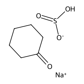 O=C1CCCCC1.O=S([O-])O.[Na+]